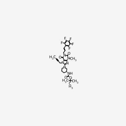 CC#CCn1c(N2CCC[C@@H](NC(=O)OC(C)(C)C)C2)nc2c1c(=O)n(C/C=C/c1c(F)c(F)c(F)c(F)c1F)c(=O)n2C